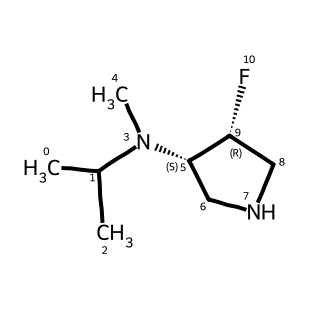 CC(C)N(C)[C@H]1CNC[C@H]1F